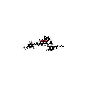 COCCc1ccc(Cl)c(CN(C(=O)C2C(c3ccc(OCCOc4c(Cl)cc(C)cc4Cl)cc3)C[C@@H]3CCC2N3C(=O)OC(C)(C)C)C2CC2)c1